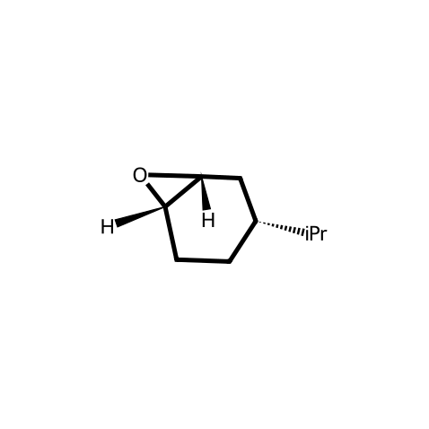 CC(C)[C@@H]1CC[C@@H]2O[C@@H]2C1